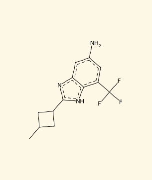 CC1CC(c2nc3cc(N)cc(C(F)(F)F)c3[nH]2)C1